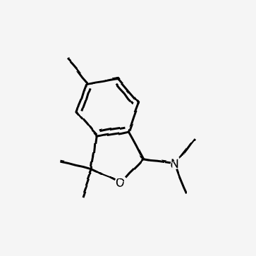 Cc1ccc2c(c1)C(C)(C)OC2N(C)C